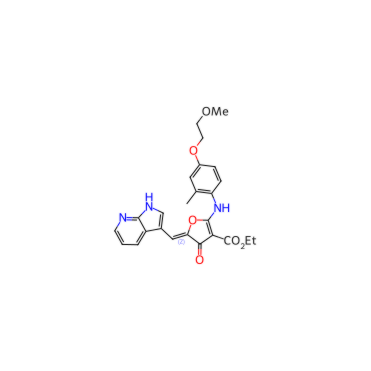 CCOC(=O)C1=C(Nc2ccc(OCCOC)cc2C)O/C(=C\c2c[nH]c3ncccc23)C1=O